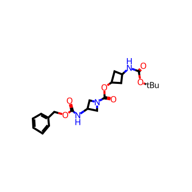 CC(C)(C)OC(=O)NC1CC(OC(=O)N2CC(NC(=O)OCc3ccccc3)C2)C1